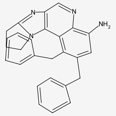 Nc1cc(Cc2ccccc2)c(Cc2ccccc2)c2c1ncc1nc3n(c12)CCC3